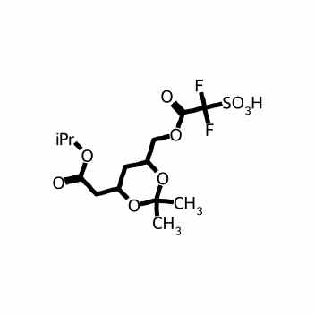 CC(C)OC(=O)CC1CC(COC(=O)C(F)(F)S(=O)(=O)O)OC(C)(C)O1